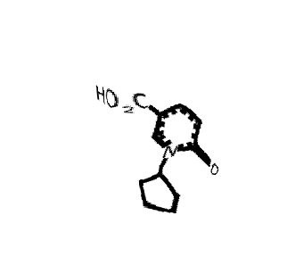 O=C(O)c1ccc(=O)n(C2CCCC2)c1